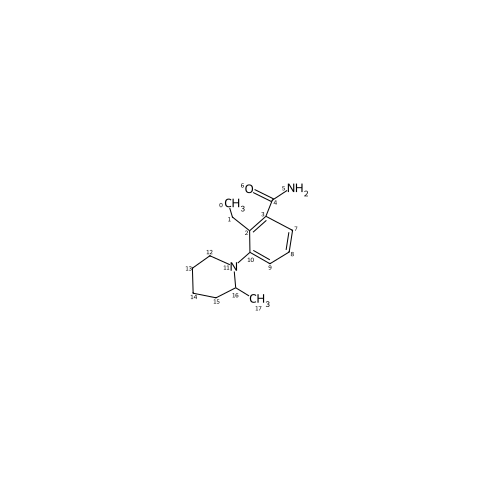 CCc1c(C(N)=O)cccc1N1CCCCC1C